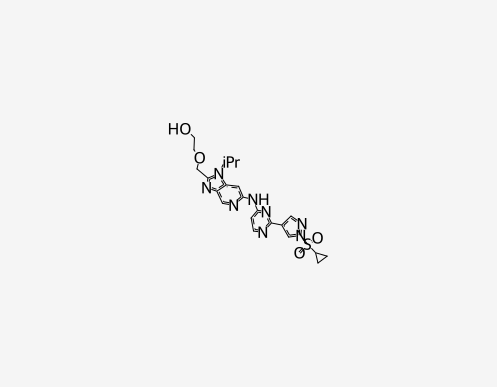 CC(C)n1c(COCCO)nc2cnc(Nc3ccnc(-c4cnn(S(=O)(=O)C5CC5)c4)n3)cc21